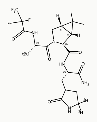 [2H]C1([2H])CC(C[C@H](NC(=O)[C@@H]2[C@@H]3[C@H](CN2C(=O)[C@@H](NC(=O)C(F)(F)C(F)(F)F)C(C)(C)C)C3(C)C)C(N)=O)C(=O)N1